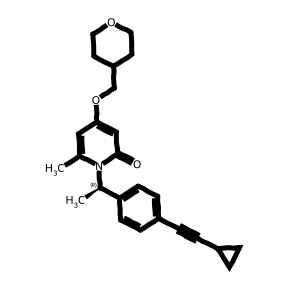 Cc1cc(OCC2CCOCC2)cc(=O)n1[C@H](C)c1ccc(C#CC2CC2)cc1